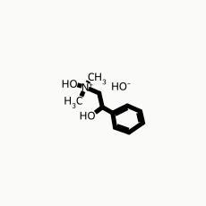 C[N+](C)(O)CC(O)c1ccccc1.[OH-]